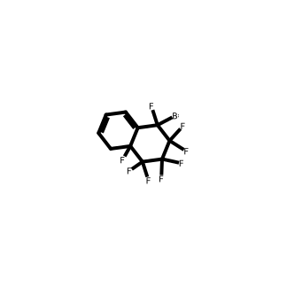 [B]C1(F)C2=CC=CCC2(F)C(F)(F)C(F)(F)C1(F)F